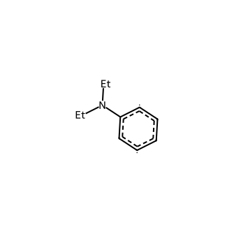 CCN(CC)c1[c]cc[c]c1